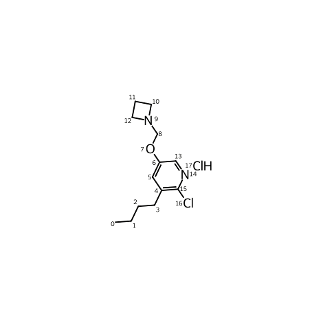 CCCCc1cc(OCN2CCC2)cnc1Cl.Cl